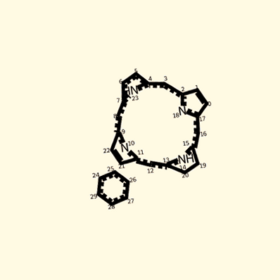 C1=Cc2cc3ccc(cc4nc(cc5[nH]c(cc1n2)CC5)C=C4)[nH]3.c1ccccc1